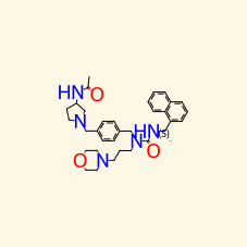 CC(=O)NC1CCN(Cc2ccc(CN(CCCN3CCOCC3)C(=O)N[C@@H](C)c3cccc4ccccc34)cc2)C1